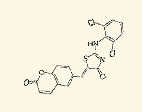 O=C1N=C(Nc2c(Cl)cccc2Cl)S/C1=C\c1ccc2oc(=O)ccc2c1